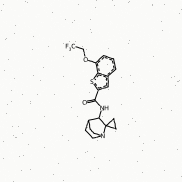 O=C(NC1C2CCN(CC2)C12CC2)c1cc2cccc(OCC(F)(F)F)c2s1